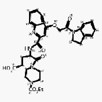 CCOC(=O)N1CCN(C(=O)C(CCC(=O)O)NC(=O)c2cc(OCC(=O)N3CCc4ccccc43)c3ccccc3n2)CC1